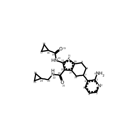 Nc1ncccc1C1CCc2sc(NC(=O)C3CC3)c(C(=O)NCC3CC3)c2C1